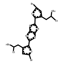 CCCCC(CC)Cc1cc(Br)sc1-c1nc2sc(-c3sc(Br)cc3CC(CC)CCCC)nc2s1